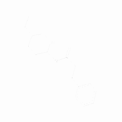 C=C(CCc1ccccc1)NC1BOC(CC)CC1